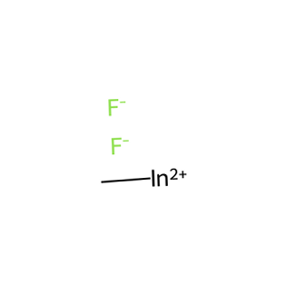 [CH3][In+2].[F-].[F-]